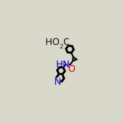 O=C(O)c1ccc(C2CC2C(=O)Nc2ccc3cnccc3c2)cc1